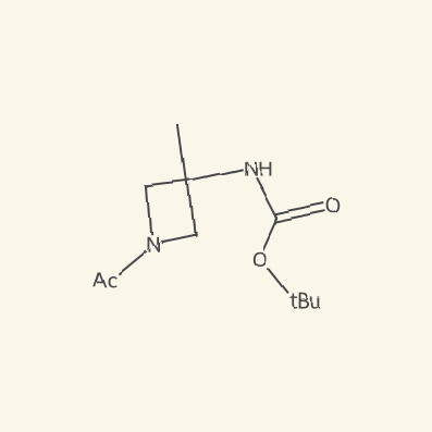 CC(=O)N1CC(C)(NC(=O)OC(C)(C)C)C1